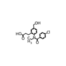 CCN(C(=O)c1ccc(Cl)cc1)c1ccc(CO)cc1CCC(=O)O